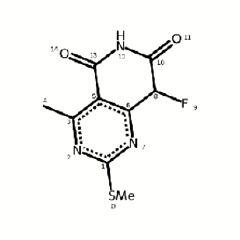 CSc1nc(C)c2c(n1)C(F)C(=O)NC2=O